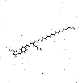 CCCCCCCCCCCCCCCCOCC(COCc1ccc(Cn2cc[n+](C)c2)cc1)OCC